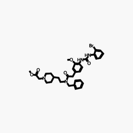 COC(=O)CN1CCC(CCN(Cc2ccccc2)C(=O)Cc2ccc(NC(=O)Nc3ccccc3Br)c(OC)c2)CC1